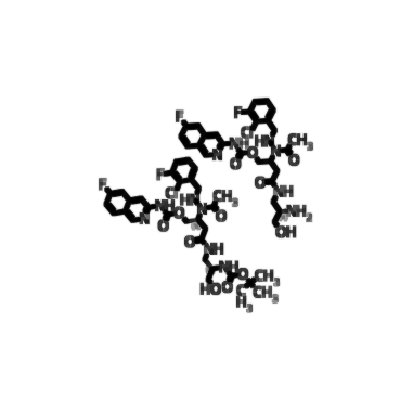 CC(=O)N(NCc1cccc(F)c1Cl)C(COC(=O)Nc1cc2cc(F)ccc2cn1)CC(=O)NC[C@@H](N)CO.CC(=O)N(NCc1cccc(F)c1Cl)[C@H](COC(=O)Nc1cc2cc(F)ccc2cn1)CC(=O)NC[C@H](CO)NC(=O)OC(C)(C)C